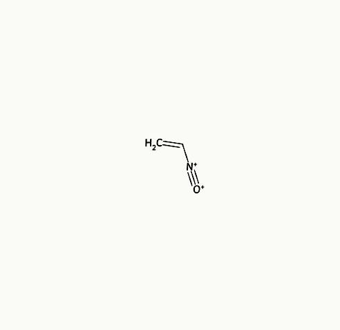 C=C[N+]#[O+]